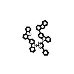 C1=CC2c3cc(-c4cccc5c4oc4ccccc45)ccc3N(c3nc(-c4ccccc4)cc(-n4c5ccccc5c5cc(-c6cccc7c6Cc6ccccc6-7)ccc54)n3)C2C=C1